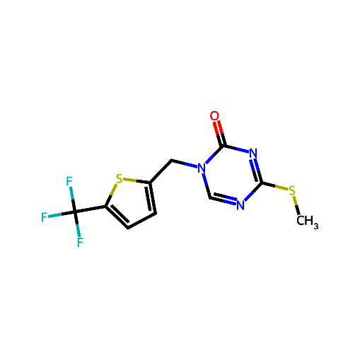 CSc1ncn(Cc2ccc(C(F)(F)F)s2)c(=O)n1